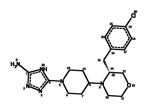 Nc1nnc(N2CCC(N3CCOC[C@H]3Cc3ccc(Cl)cc3)CC2)[nH]1